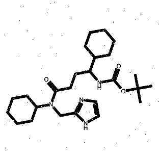 CC(C)(C)OC(=O)NC(CCC(=O)N(Cc1ncc[nH]1)C1CCCCC1)C1CCCCC1